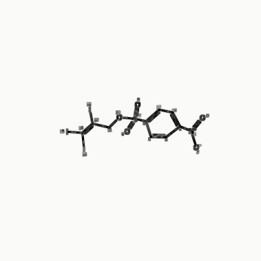 O=[N+]([O-])c1ccc(S(=O)(=O)OCC(I)=C(I)I)cc1